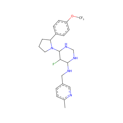 Cc1ccc(CNC2NCNC(N3CCCC3c3ccc(OC(F)(F)F)cc3)C2F)cn1